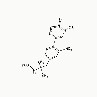 Cn1cc(-c2ccc(CC(C)(C)NC(=O)O)cc2[N+](=O)[O-])ncc1=O